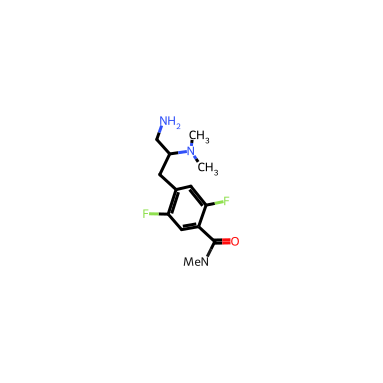 CNC(=O)c1cc(F)c(CC(CN)N(C)C)cc1F